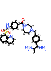 CC(N)C(N)c1ccc(CN2CCCN(C(=O)c3ccc(NS(=O)(=O)c4cccc5cccnc45)cc3)CC2)cc1